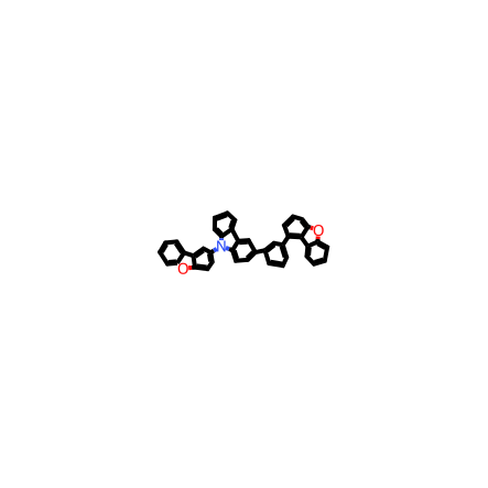 c1cc(-c2ccc3c(c2)c2ccccc2n3-c2ccc3oc4ccccc4c3c2)cc(-c2cccc3oc4ccccc4c23)c1